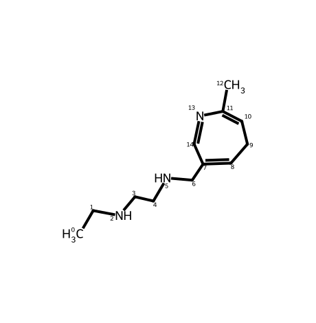 CCNCCNCC1=CCC=C(C)N=C1